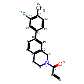 C=CC(=O)N1CCc2ccc(-c3ccc(C(F)(F)F)c(F)c3)cc2C1